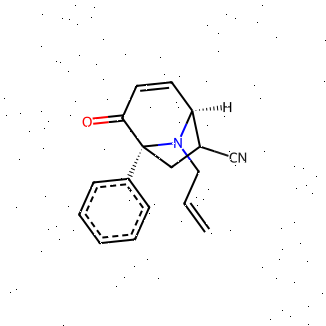 C=CCN1[C@H]2C=CC(=O)[C@]1(c1ccccc1)CC2C#N